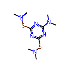 CN(C)Sc1nc(SN(C)C)nc(N(C)C)n1